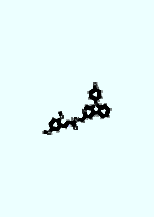 COc1ccc(OC)c(/C=C/C(=O)NCc2cc3c4ccccc4n(-c4ccc(Cl)cc4)c3cn2)c1